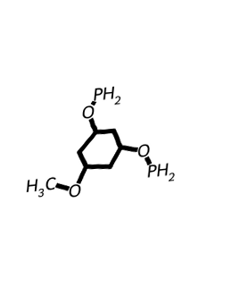 COC1CC(OP)CC(OP)C1